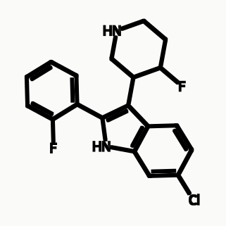 Fc1ccccc1-c1[nH]c2cc(Cl)ccc2c1C1CNCCC1F